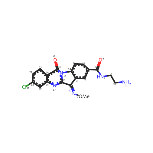 CO/N=C1\c2cc(C(=O)NCCN)ccc2-n2c1nc1cc(Cl)ccc1c2=O